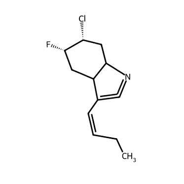 CC/C=C\C1=C=NC2C[C@@H](Cl)[C@@H](F)CC12